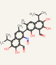 Cc1cc2c(C(C)C)c(O)c(O)c(C=O)c2c(O)c1-c1c(C)cc2c(C(C)C)c(O)c(O)c(C=O)c2c1N=O